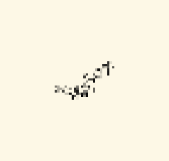 O=C1N(c2ccc(OC(F)(F)I)cc2)C[C@@H]2C[C@@H](NS(=O)(=O)c3ccc(Cl)cc3)CN12